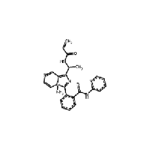 C=CC(=O)NC(C)C1=C2C=NC=C[N+]2(N)C(c2ccccc2C(=O)Nc2ccccn2)=N1